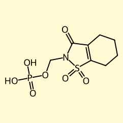 O=C1C2=C(CCCC2)S(=O)(=O)N1COP(=O)(O)O